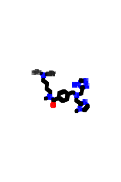 CCCN(CCC)CCCCN(C)C(=O)c1ccc(CN(Cc2nnc[nH]2)Cc2nccn2C)cc1